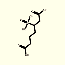 O=C(O)CCCC(CC(=O)O)P(=O)(O)O